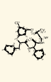 CC(C)[C@H](NC(=O)C(NC(=O)C(Cc1ccccn1)Oc1cc(Cl)cc(Cl)c1)c1ccccc1)C(=O)C(F)(F)F